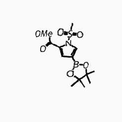 COC(=O)c1cc(B2OC(C)(C)C(C)(C)O2)cn1S(C)(=O)=O